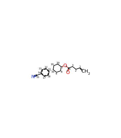 C=CCCC(=O)O[C@H]1CC[C@H](c2ccc(C#N)cc2)CC1